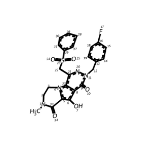 CN1CCn2c(c(O)c3c(=O)n(Cc4ccc(F)cc4)nc(CS(=O)(=O)c4ccccc4)c32)C1=O